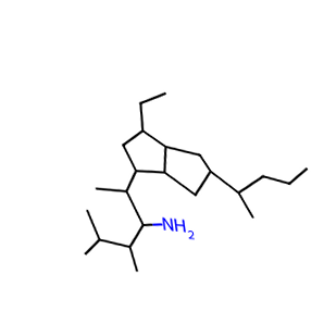 CCCC(C)C1CC2C(CC)CC(C(C)C(N)C(C)C(C)C)C2C1